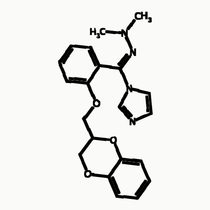 CN(C)/N=C(\c1ccccc1OCC1COc2ccccc2O1)n1ccnc1